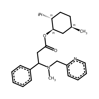 CC(C)[C@@H]1CC[C@@H](C)C[C@H]1OC(=O)CC(c1ccccc1)N(C)Cc1ccccn1